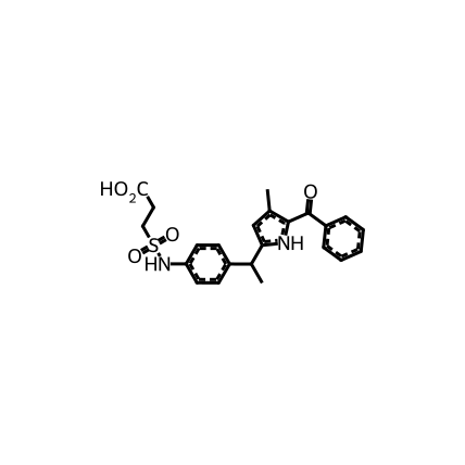 Cc1cc(C(C)c2ccc(NS(=O)(=O)CCC(=O)O)cc2)[nH]c1C(=O)c1ccccc1